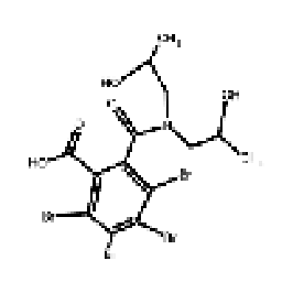 CC(O)CN(CC(C)O)C(=O)c1c(Br)c(Br)c(Br)c(Br)c1C(=O)O